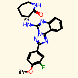 CC(C)Oc1ccc(-c2nc3c4ccccc4nc(N[C@@H]4CCCCNC4=O)n3n2)cc1F